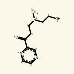 CN(CCO)CCC(=O)c1cnccn1